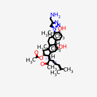 CC(=O)O[C@H]1C[C@@]2(C)[C@@H](C[C@@H](O)[C@H]3[C@@]4(C)CC[C@@H](O)[C@](C)(n5cc(CN)nn5)[C@@H]4CC[C@@]32C)/C1=C(\C=C\C=C(C)C)C(C)=O